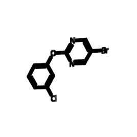 Clc1cccc(Oc2ncc(Br)cn2)c1